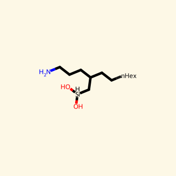 CCCCCCCCC(CCCN)C[SiH](O)O